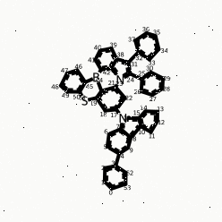 c1ccc(-c2ccc3c(c2)c2ccccc2n3-c2cc3c4c(c2)-n2c(-c5ccccc5)c(-c5ccccc5)c5cccc(c52)B4c2ccccc2S3)cc1